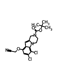 CC(C)(C)OC(=O)N1CCn2c(cc3c(OCC#N)cc(Cl)c(Cl)c32)C1